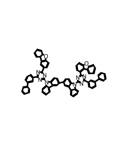 C1=CC2Oc3ccc(-c4nc(-c5cccc(-c6ccccc6)c5)nc(-n5c6ccccc6c6cc(-c7ccc8c(c7)c7ccccc7n8-c7nc(-c8cccc(-c9ccccc9)c8)nc(-c8cccc9oc%10ccccc%10c89)n7)ccc65)n4)cc3C2C=C1